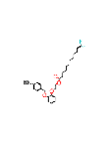 CC(C)(C)c1ccc(COc2ccccc2OCCOC(=O)CCCCCCCCCC=C(F)F)cc1